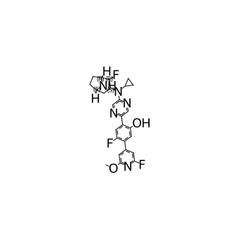 COc1cc(-c2cc(O)c(-c3cnc(N(C4CC4)[C@H]4C[C@@H]5CC[C@@H](N5)[C@H]4F)cn3)cc2F)cc(F)n1